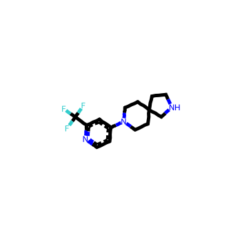 FC(F)(F)c1cc(N2CCC3(CCNC3)CC2)ccn1